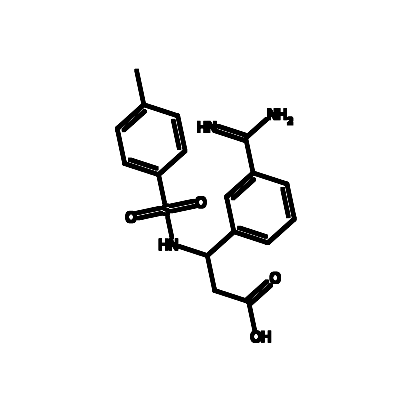 Cc1ccc(S(=O)(=O)NC(CC(=O)O)c2cccc(C(=N)N)c2)cc1